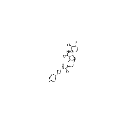 NC(=O)c1c(-c2ccc(F)c(Cl)c2)nn2c1CN(C(=O)N[C@H]1C[C@@H](c3ccc(F)cc3)C1)CC2